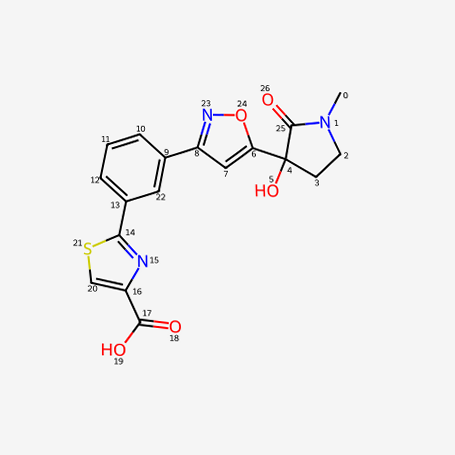 CN1CCC(O)(c2cc(-c3cccc(-c4nc(C(=O)O)cs4)c3)no2)C1=O